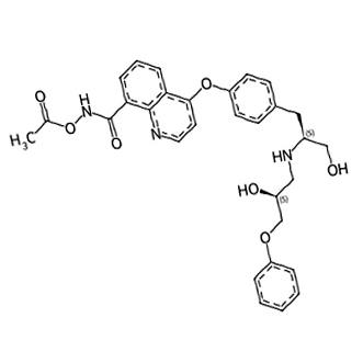 CC(=O)ONC(=O)c1cccc2c(Oc3ccc(C[C@@H](CO)NC[C@H](O)COc4ccccc4)cc3)ccnc12